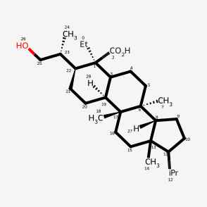 CC[C@]1(C(=O)O)C2CC[C@@]3(C)[C@@H]4CCC(C(C)C)C4(C)CC[C@]3(C)[C@H]2CC[C@H]1[C@@H](C)CO